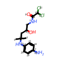 CC(C)(CC(O)CNC(=O)C(Cl)Cl)Nc1ccc(N)cc1